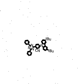 CC(C)(C)c1ccc2c(c1)c1cc(C(C)(C)C)ccc1n2-c1ccc(-c2nc(-c3ccccc3)nc(-c3ccccc3)n2)c(C#N)c1